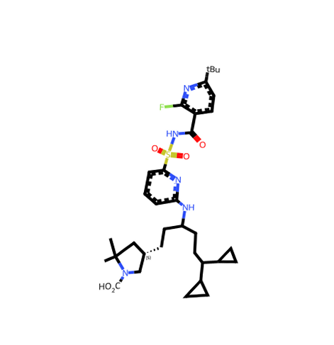 CC(C)(C)c1ccc(C(=O)NS(=O)(=O)c2cccc(NC(CCC(C3CC3)C3CC3)CC[C@@H]3CN(C(=O)O)C(C)(C)C3)n2)c(F)n1